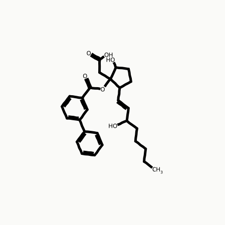 CCCCCC(O)C=CC1CCC(O)C1(CC(=O)O)OC(=O)c1cccc(-c2ccccc2)c1